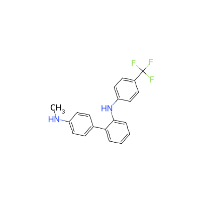 CNc1ccc(-c2ccccc2Nc2ccc(C(F)(F)F)cc2)cc1